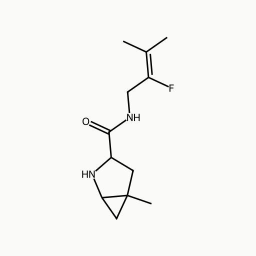 CC(C)=C(F)CNC(=O)C1CC2(C)CC2N1